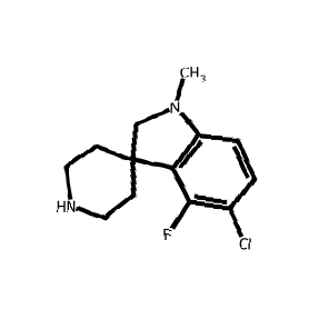 CN1CC2(CCNCC2)c2c1ccc(Cl)c2F